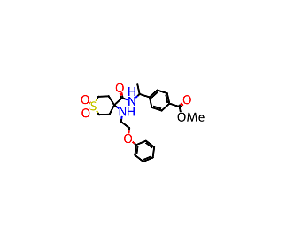 COC(=O)c1ccc(C(C)NC(=O)C2(NCCOc3ccccc3)CCS(=O)(=O)CC2)cc1